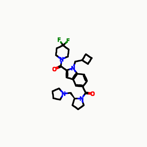 O=C(c1cc2cc(C(=O)N3CCC[C@H]3CN3CCCC3)ccc2n1CC1CCC1)N1CCC(F)(F)CC1